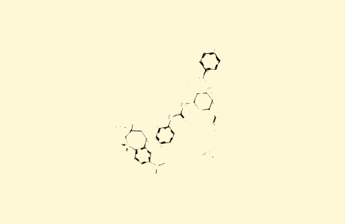 CCCC[C@]1(CC)CS(=O)(=O)c2ccc(N(C)C)cc2[C@@H](c2cccc(NC(=O)N[C@@H]3O[C@H](COS(=O)(=O)O)[C@@H](O)[C@H](OCc4ccccc4)[C@H]3O)c2)[C@H]1O.CCO.O